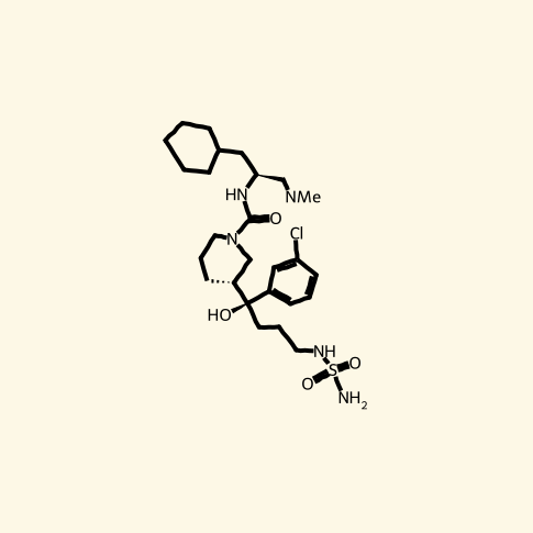 CNC[C@H](CC1CCCCC1)NC(=O)N1CCC[C@@H]([C@@](O)(CCCNS(N)(=O)=O)c2cccc(Cl)c2)C1